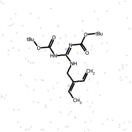 C=C/C(=C\C)CN/C(=N\C(=O)OC(C)(C)C)NC(=O)OC(C)(C)C